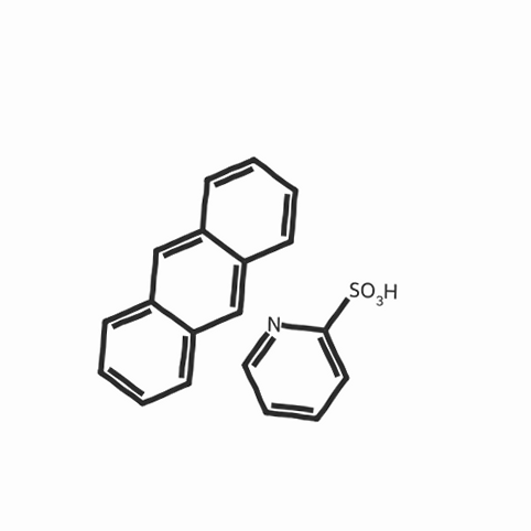 O=S(=O)(O)c1ccccn1.c1ccc2cc3ccccc3cc2c1